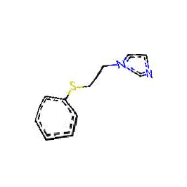 c1ccc(SCCn2ccnc2)cc1